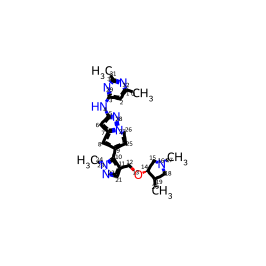 Cc1cc(Nc2cc3cc(-c4c(CO[C@H]5CN(C)CC5C)cnn4C)ccn3n2)nc(C)n1